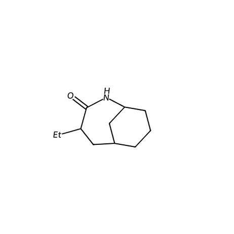 CCC1CC2CCCC(C2)NC1=O